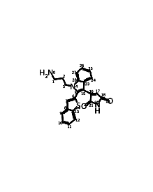 NCCCn1c(-c2cc3ccccc3s2)c(C2=CC(=O)NC2=O)c2ccccc21